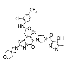 CCc1c(N2CCN(C(=O)c3ncnc(C)c3O)CC2)c(=O)n2nc(N3CC4(CCOCC4)C3)nc2n1CC(=O)Nc1ccc(C(F)(F)F)cc1Cl